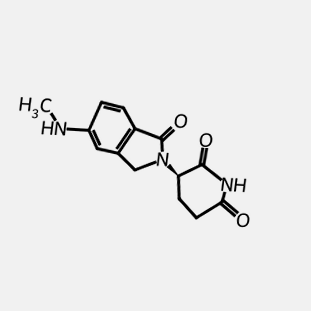 CNc1ccc2c(c1)CN([C@@H]1CCC(=O)NC1=O)C2=O